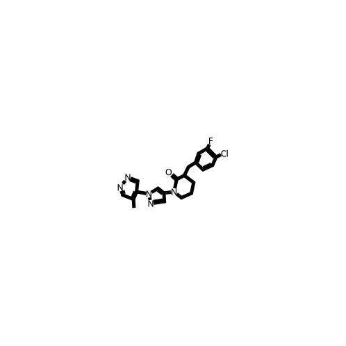 Cc1cnncc1-n1cc(N2CCCC(Cc3ccc(Cl)c(F)c3)C2=O)cn1